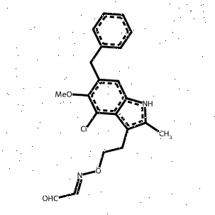 COc1c(Cc2ccccc2)cc2[nH]c(C)c(CCON=CC=O)c2c1Cl